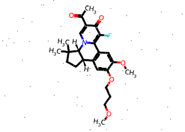 COCCCOc1cc2c(cc1OC)-c1c(F)c(=O)c(C(C)=O)cn1[C@@H]1[C@H]2CCC1(C)C